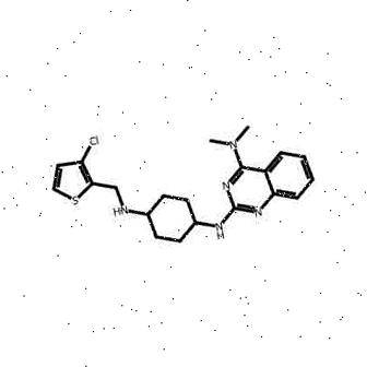 CN(C)c1nc(NC2CCC(NCc3sccc3Cl)CC2)nc2ccccc12